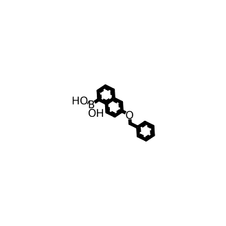 OB(O)c1cccc2cc(OCc3ccccc3)ccc12